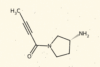 CC#CC(=O)N1CC[C@@H](N)C1